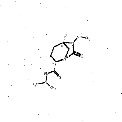 CON1C(=O)N2C[C@H]1CC[C@H]2C(=O)NN(C)C